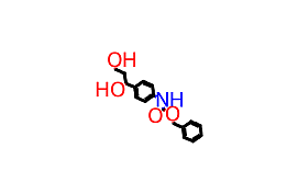 O=C(Nc1ccc(C(O)CCO)cc1)OCc1ccccc1